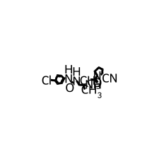 CC(C)(CNC(=O)Nc1ccc(Cl)cc1)NCC(=O)N1CCCC1C#N